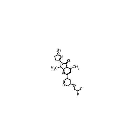 CCN1CCC(N2C(=O)C3C(=NC(C4C=NCC(OCC(F)F)C4)=CC3C)C2C)=N1